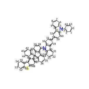 c1ccc(-n2c3ccccc3c3cc(-c4ccc5c(c4)c4ccccc4n5-c4cccc5c4-c4ccccc4C5(c4ccccc4)c4ccc5sc6ccccc6c5c4)ccc32)cc1